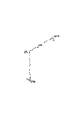 COC(=O)CCCCCCCCCCCCCCCC(CCCCCCCCCCCCCCCC(=O)OC)C(C)C